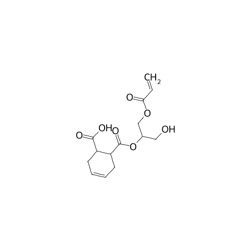 C=CC(=O)OCC(CO)OC(=O)C1CC=CCC1C(=O)O